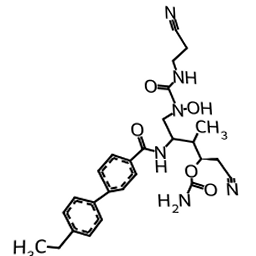 CCc1ccc(-c2ccc(C(=O)NC(CN(O)C(=O)NCCC#N)C(C)[C@@H](CC#N)OC(N)=O)cc2)cc1